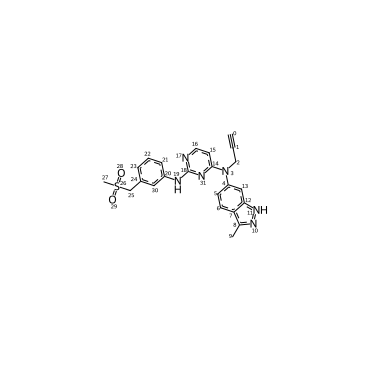 C#CCN(c1ccc2c(C)n[nH]c2c1)c1ccnc(Nc2cccc(CS(C)(=O)=O)c2)n1